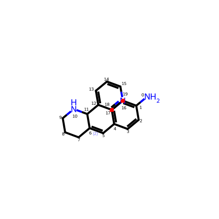 Nc1ccc(/C=C2/CCCNC2c2cccnc2)cc1